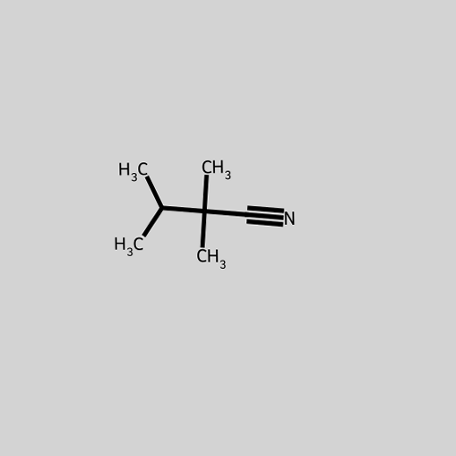 CC(C)C(C)(C)C#N